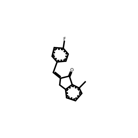 Cc1cccc2c1C(=O)/C(=C\c1ccc(F)cc1)C2